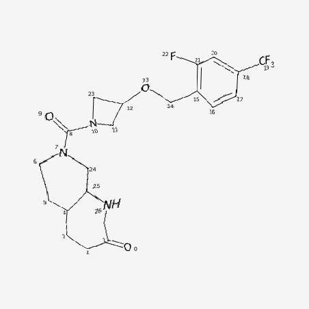 O=C1CCC2CCN(C(=O)N3CC(OCc4ccc(C(F)(F)F)cc4F)C3)CC2N1